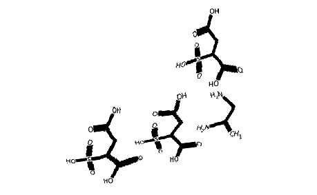 CC(N)CN.O=C(O)CC(C(=O)O)S(=O)(=O)O.O=C(O)CC(C(=O)O)S(=O)(=O)O.O=C(O)CC(C(=O)O)S(=O)(=O)O